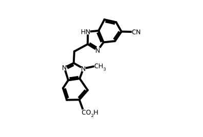 Cn1c(Cc2nc3cc(C#N)ccc3[nH]2)nc2ccc(C(=O)O)cc21